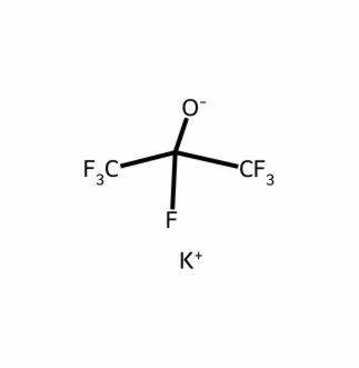 [K+].[O-]C(F)(C(F)(F)F)C(F)(F)F